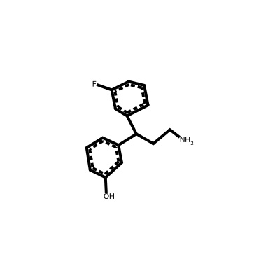 NCCC(c1cccc(O)c1)c1cccc(F)c1